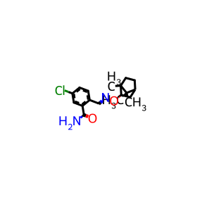 CC1(C)C2CCC1(C)C(ON=Cc1ccc(Cl)cc1C(N)=O)C2